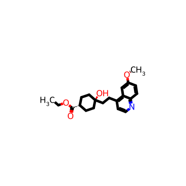 CCOC(=O)[C@H]1CC[C@@](O)(CCc2ccnc3ccc(OC)cc23)CC1